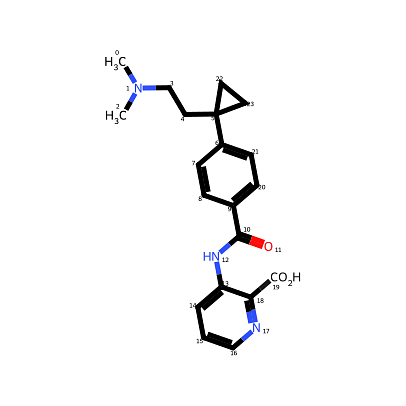 CN(C)CCC1(c2ccc(C(=O)Nc3cccnc3C(=O)O)cc2)CC1